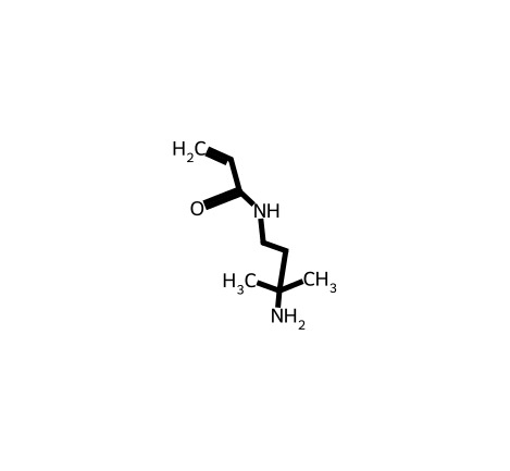 C=CC(=O)NCCC(C)(C)N